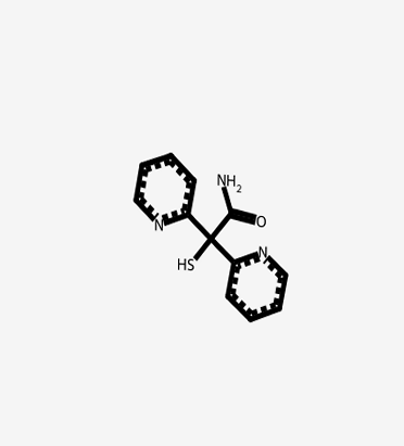 NC(=O)C(S)(c1ccccn1)c1ccccn1